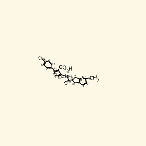 Cc1ccc2c(c1)CC(C(=O)Nc1csc(-c3ccc(Cl)cc3)c1C(=O)O)C2